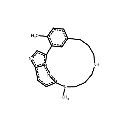 Cc1ccc2cc1-c1cnc3ccc(nn13)N(C)CCCNCCC2